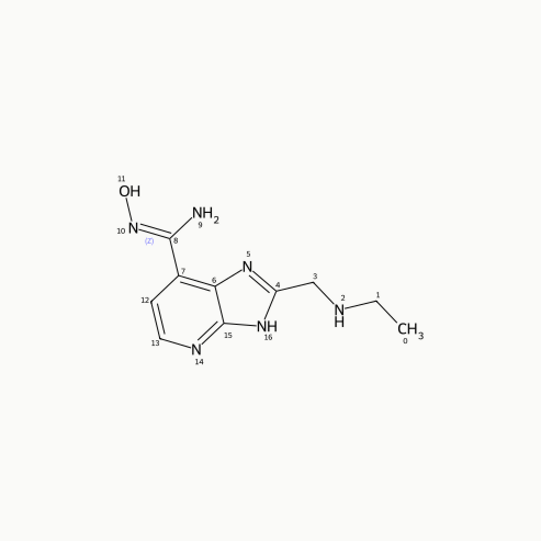 CCNCc1nc2c(/C(N)=N/O)ccnc2[nH]1